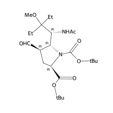 CCC(CC)(OC)[C@H](NC(C)=O)[C@H]1[C@H](C=O)C[C@H](C(=O)OC(C)(C)C)N1C(=O)OC(C)(C)C